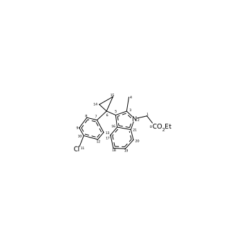 CCOC(=O)Cn1c(C)c(C2(c3ccc(Cl)cc3)CC2)c2ccccc21